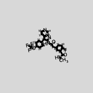 CNC(=O)c1cc(CC(=O)Nc2nn3cnccc3c2-c2ccc(OC(F)(F)F)cc2)ccc1F